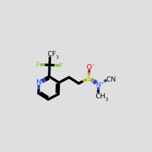 C[N+](C#N)=S([O-])CCc1cccnc1C(F)(F)C(F)(F)F